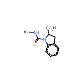 CC(C)(C)NC(=O)N1c2ccccc2C[C@@H]1C(=O)O